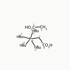 CC(=O)O.CCCCP(CCCC)(CCCC)(CCCC)CC(=O)O